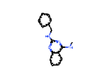 CNc1nc(NCc2ccccc2)nc2ccccc12